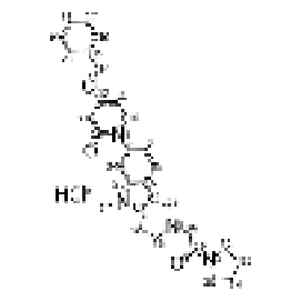 Cl.Cn1c2c(c3ccc(-n4ccc(OCc5ccccc5)cc4=O)cc31)CN(CC(=O)N1CCCC1)CC2